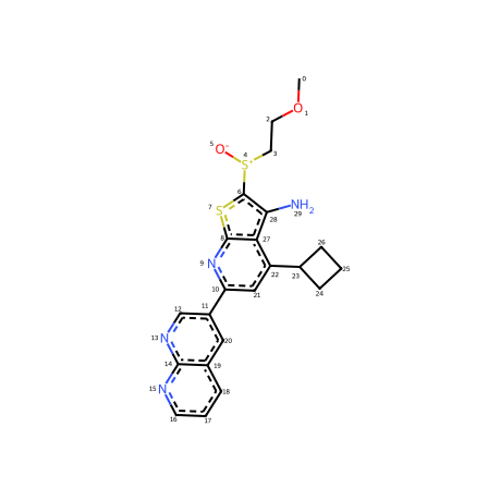 COCC[S+]([O-])c1sc2nc(-c3cnc4ncccc4c3)cc(C3CCC3)c2c1N